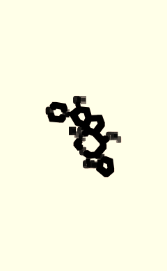 CC(=O)O[C@@H]1CCCC2C(CCC3C[C@H](O)[C@@H](N4CCOCC4)C[C@@]32C)C(C)CC1N1CCCC1